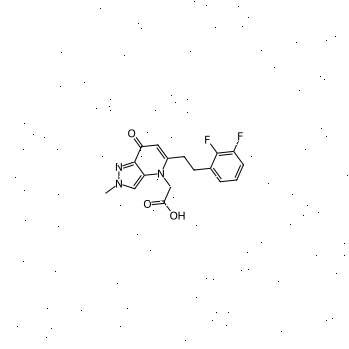 Cn1cc2c(n1)c(=O)cc(CCc1cccc(F)c1F)n2CC(=O)O